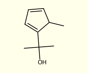 CC1C=CC=C1C(C)(C)O